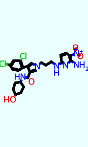 Nc1nc(NCCCn2cc(C(=O)NC3CCC(O)CC3)c(-c3ccc(Cl)cc3Cl)c2)ccc1[N+](=O)[O-]